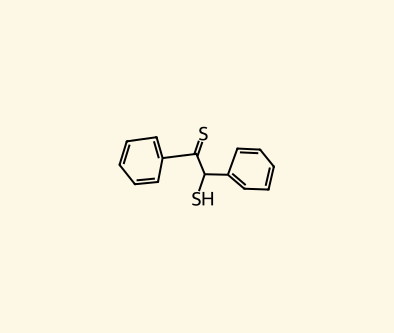 S=C(c1ccccc1)C(S)c1ccccc1